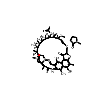 CN1CCCC1=O.CO[C@H]1/C=C/O[C@@]2(C)Oc3c(C)c(O)c4c(O)c(c(/C=N/N5CCN(C)CC5)c(O)c4c3C2=O)NC(=O)/C(C)=C\C=C\[C@H](C)[C@H](O)[C@@H](C)[C@@H](O)[C@@H](C)[C@H](OC(C)=O)[C@@H]1C